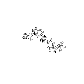 C[C@@H]1CN(c2noc(-c3ccc4cnn(C5COC5)c4c3)n2)CCN1C(=O)OC(C)(C)C